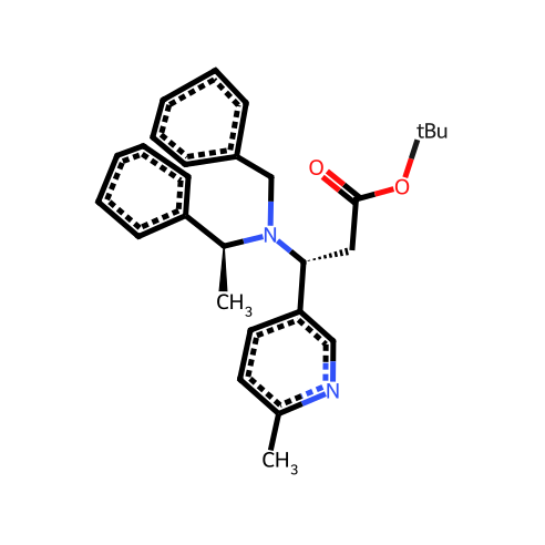 Cc1ccc([C@@H](CC(=O)OC(C)(C)C)N(Cc2ccccc2)[C@@H](C)c2ccccc2)cn1